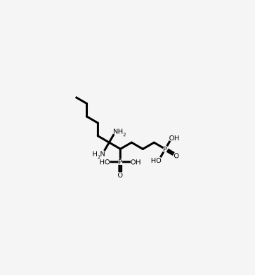 CCCCCC(N)(N)C(CCCP(=O)(O)O)P(=O)(O)O